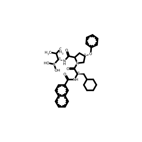 CC(C)[C@H](NC(=O)C1C[C@H](Oc2ccccc2)CN1C(=O)[C@@H](CC1CCCCC1)NC(=O)c1ccc2ccccc2c1)B(O)O